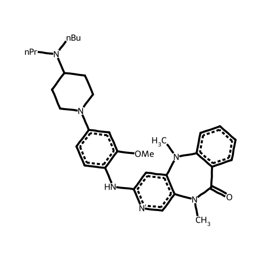 CCCCN(CCC)C1CCN(c2ccc(Nc3cc4c(cn3)N(C)C(=O)c3ccccc3N4C)c(OC)c2)CC1